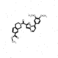 COC(=O)c1ccc2c(c1)CN(C(=O)c1cc3nccc(-c4ccc(OC)c(OC)c4)n3n1)CC2